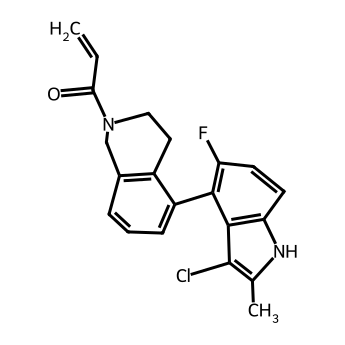 C=CC(=O)N1CCc2c(cccc2-c2c(F)ccc3[nH]c(C)c(Cl)c23)C1